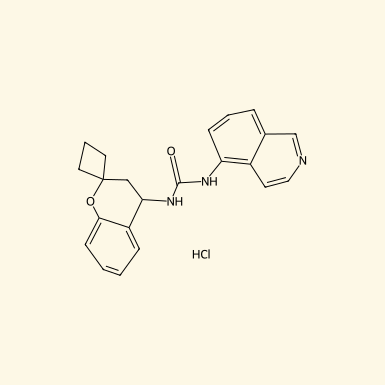 Cl.O=C(Nc1cccc2cnccc12)NC1CC2(CCC2)Oc2ccccc21